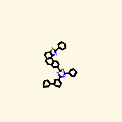 c1ccc(-c2cccc(-c3nc(-c4ccccc4)nc(-c4ccc5c(ccc6ccc7sc(-c8ccccc8)nc7c65)c4)n3)c2)cc1